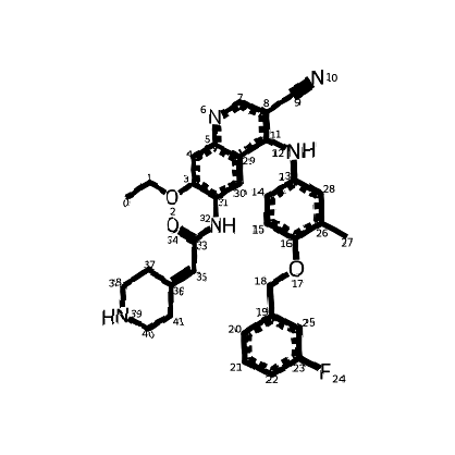 CCOc1cc2ncc(C#N)c(Nc3ccc(OCc4cccc(F)c4)c(C)c3)c2cc1NC(=O)C=C1CCNCC1